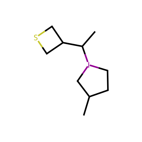 CC1CCI(C(C)C2CSC2)C1